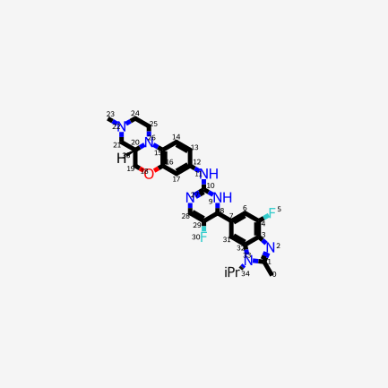 Cc1nc2c(F)cc(C3NC(Nc4ccc5c(c4)OC[C@@H]4CN(C)CCN54)=NC=C3F)cc2n1C(C)C